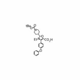 CCN1C(c2ccc(Oc3ccccc3)cc2)=C(C(=O)O)OC1C1CCN(C(=O)OC(C)(C)C)CC1